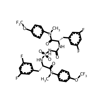 CN(C(=O)[C@H](Cc1cc(F)cc(F)c1)NC(=O)NS(=O)(=O)N[C@@H](Cc1cc(F)cc(F)c1)C(=O)N(C)c1ccc(OC(F)(F)F)cc1)c1ccc(OC(F)(F)F)cc1